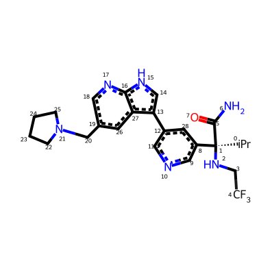 CC(C)[C@@](NCC(F)(F)F)(C(N)=O)c1cncc(-c2c[nH]c3ncc(CN4CCCC4)cc23)c1